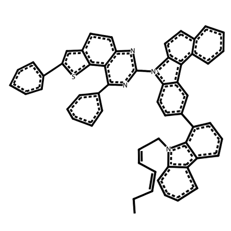 CC/C=C\C=C/Cn1c2ccccc2c2cccc(-c3ccc4c(c3)c3c5ccccc5ccc3n4-c3nc(-c4ccccc4)c4c(ccc5cc(-c6ccccc6)sc54)n3)c21